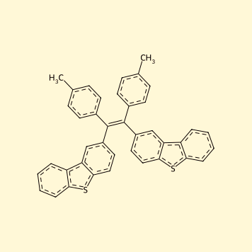 Cc1ccc(C(=C(c2ccc(C)cc2)c2ccc3sc4ccccc4c3c2)c2ccc3sc4ccccc4c3c2)cc1